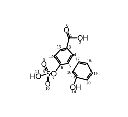 O=C(O)c1ccc(OS(=O)(=O)O)cc1.Oc1ccccc1